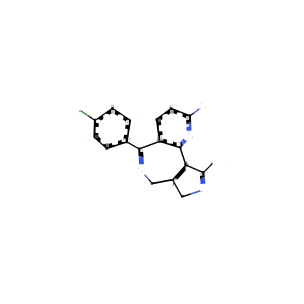 CC1=NCC2=C1c1nc(N)ccc1C(c1ccc(Cl)cc1)=NC2